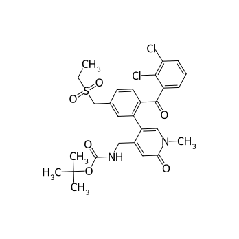 CCS(=O)(=O)Cc1ccc(C(=O)c2cccc(Cl)c2Cl)c(-c2cn(C)c(=O)cc2CNC(=O)OC(C)(C)C)c1